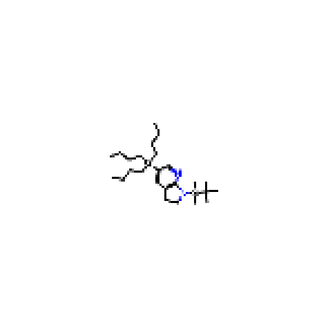 CCC[CH2][Sn]([CH2]CCC)([CH2]CCC)[c]1cnc2c(c1)CCN2[Si](C)(C)C(C)(C)C